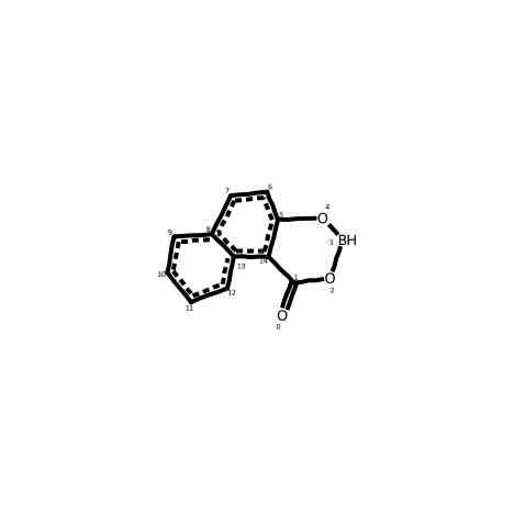 O=C1OBOc2ccc3ccccc3c21